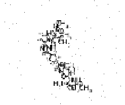 COC(=O)NC(C(=O)N1CCC[C@H]1c1ncc(-c2ccc(-c3cnc(C4CCCN4C(=O)[C@@H](NC(=O)OC)C(C)C)[nH]3)cc2)[nH]1)C(C)C